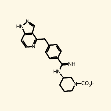 N=C(N[C@@H]1CCCN(C(=O)O)C1)c1ccc(Cc2nccc3[nH]ncc23)cc1